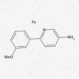 COc1cccc(-c2ccc(N)cn2)c1.[Fe]